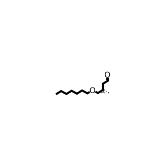 CCCCCCCOC[C@@H](C)CC=O